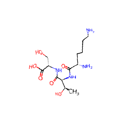 C[C@@H](O)[C@H](NC(=O)[C@@H](N)CCCCN)C(=O)N[C@@H](CO)C(=O)O